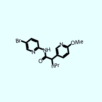 CCCC(C(=O)Nc1ccc(Br)cn1)c1ccc(OC)nc1